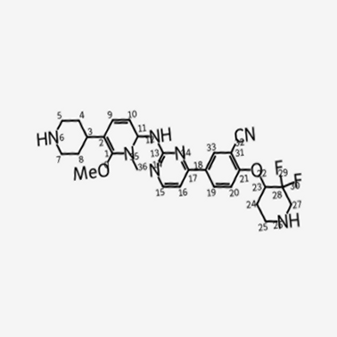 COC1=C(C2CCNCC2)C=CC(Nc2nccc(-c3ccc(OC4CCNCC4(F)F)c(C#N)c3)n2)N1C